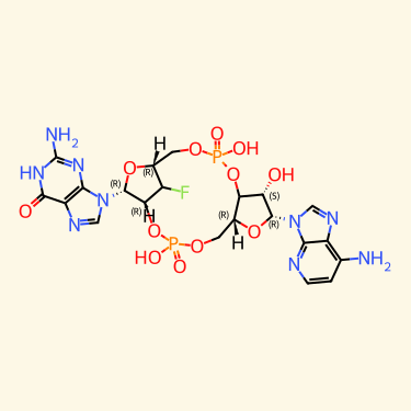 Nc1nc2c(ncn2[C@@H]2O[C@@H]3COP(=O)(O)OC4[C@@H](COP(=O)(O)O[C@H]2C3F)O[C@@H](n2cnc3c(N)ccnc32)[C@H]4O)c(=O)[nH]1